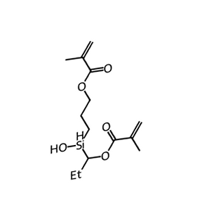 C=C(C)C(=O)OCCC[SiH](O)C(CC)OC(=O)C(=C)C